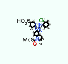 COC(=O)N1c2ccc3c(nc(Nc4ccccc4Cl)n3C3CCC(C(=O)O)CC3)c2CC[C@@H]1C